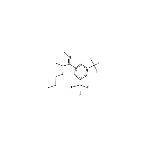 CCCCC(C)/C(=N\C)c1cc(C(F)(F)F)cc(C(F)(F)F)c1